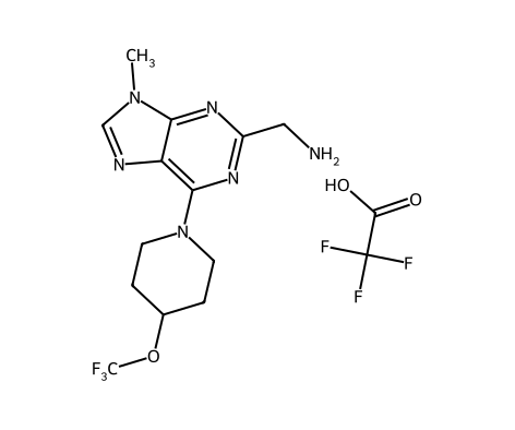 Cn1cnc2c(N3CCC(OC(F)(F)F)CC3)nc(CN)nc21.O=C(O)C(F)(F)F